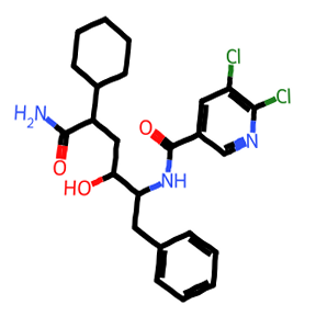 NC(=O)C(CC(O)C(Cc1ccccc1)NC(=O)c1cnc(Cl)c(Cl)c1)C1CCCCC1